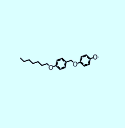 CCCCCCCOc1ccc(COc2ccc([O])cc2)cc1